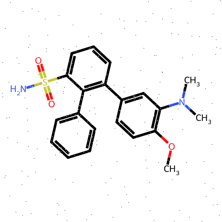 COc1ccc(-c2cccc(S(N)(=O)=O)c2-c2ccccc2)cc1N(C)C